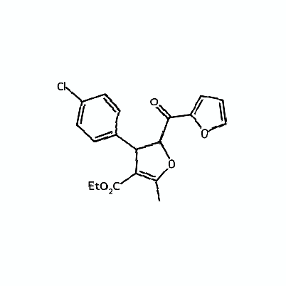 CCOC(=O)C1=C(C)OC(C(=O)c2ccco2)C1c1ccc(Cl)cc1